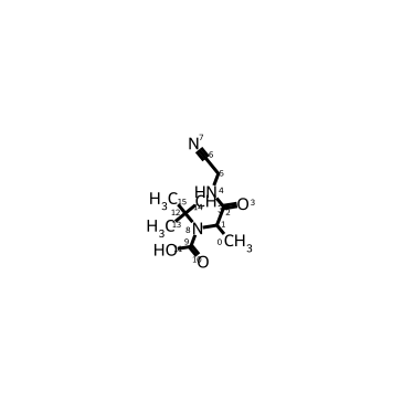 CC(C(=O)NCC#N)N(C(=O)O)C(C)(C)C